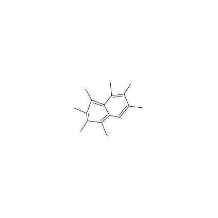 Cc1cc2c(C)c(C)c(C)c(C)c2c(C)c1C